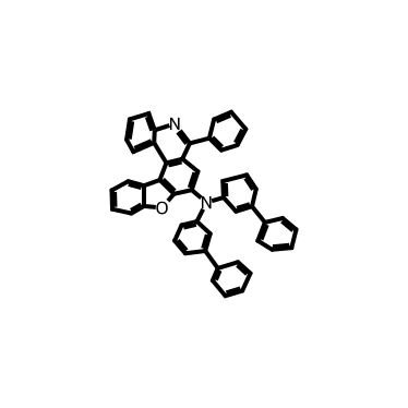 c1ccc(-c2cccc(N(c3cccc(-c4ccccc4)c3)c3cc4c(-c5ccccc5)nc5ccccc5c4c4c3oc3ccccc34)c2)cc1